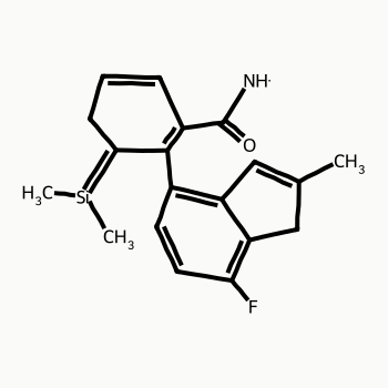 CC1=Cc2c(C3=C(C([NH])=O)C=CCC3=[Si](C)C)ccc(F)c2C1